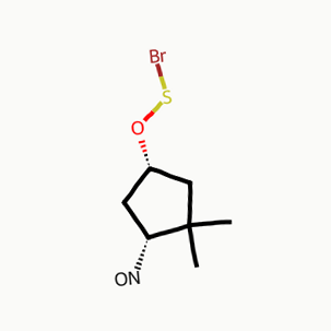 CC1(C)C[C@@H](OSBr)C[C@H]1N=O